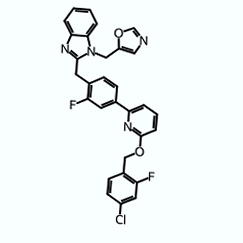 Fc1cc(Cl)ccc1COc1cccc(-c2ccc(Cc3nc4ccccc4n3Cc3cnco3)c(F)c2)n1